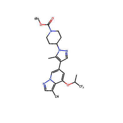 Cc1c(-c2cc(OC(C)C(F)(F)F)c3c(C#N)cnn3c2)cnn1C1CCN(C(=O)OC(C)(C)C)CC1